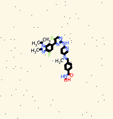 Cc1nc2c(F)cc(-c3nc(Nc4ccc(N(C)Cc5ccc(C(=O)NO)cc5)cn4)ncc3F)cc2n1C(C)C